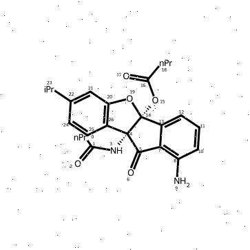 CCCC(=O)N[C@@]12C(=O)c3c(N)cccc3[C@]1(OC(=O)CCC)Oc1cc(C(C)C)ccc12